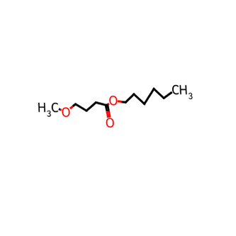 CCCCCCOC(=O)CCCOC